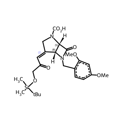 COc1ccc(CN2C(=O)[C@@H]3[C@H]2/C(=C\C(=O)CO[Si](C)(C)C(C)(C)C)CN3C(=O)O)c(OC)c1